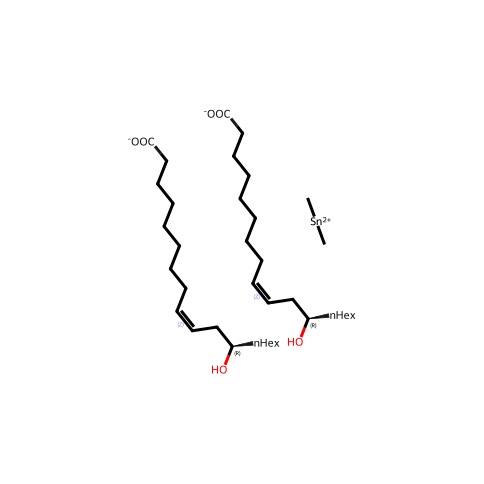 CCCCCC[C@@H](O)C/C=C\CCCCCCCC(=O)[O-].CCCCCC[C@@H](O)C/C=C\CCCCCCCC(=O)[O-].[CH3][Sn+2][CH3]